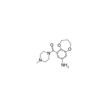 CN1CCN(C(=O)c2cc(N)cc3c2OCCCO3)CC1